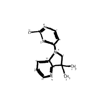 CC1(C)CN(c2ccnc(Cl)n2)c2cccnc21